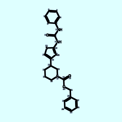 O=C(Nc1ccccc1)Nc1nc(C2CCCN(C(=O)OCc3ccccc3)C2)cs1